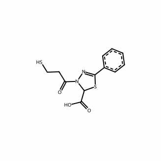 O=C(O)C1SC(c2ccccc2)=NN1C(=O)CCS